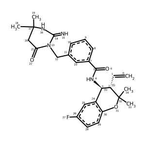 C=C[C@H]1[C@H](NC(=O)c2cccc(CN3C(=N)NC(C)(C)CC3=O)c2)c2cc(F)ccc2OC1(C)C